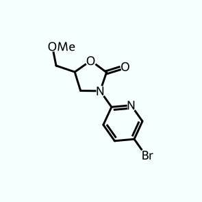 COCC1CN(c2ccc(Br)cn2)C(=O)O1